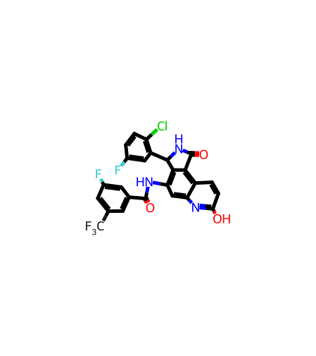 O=C(Nc1cc2nc(O)ccc2c2c1C(c1cc(F)ccc1Cl)NC2=O)c1cc(F)cc(C(F)(F)F)c1